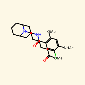 COC(=O)CCCCCN1C2CCCC1CC(NC(=O)c1cc(Cl)c(NC(C)=O)cc1OC)C2